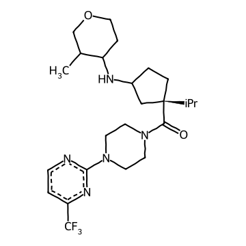 CC1COCCC1NC1CC[C@@](C(=O)N2CCN(c3nccc(C(F)(F)F)n3)CC2)(C(C)C)C1